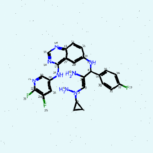 N/C(=C\N(N)C1CC1)C(Nc1ccc2ncnc(Nc3cnc(F)c(F)c3)c2c1)c1ccc(F)cc1